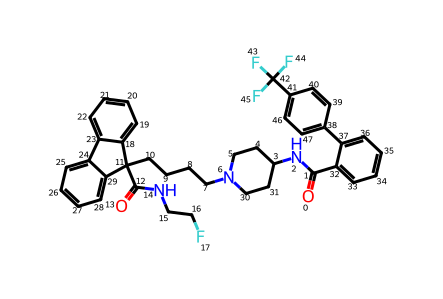 O=C(NC1CCN(CCCCC2(C(=O)NCCF)c3ccccc3-c3ccccc32)CC1)c1ccccc1-c1ccc(C(F)(F)F)cc1